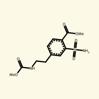 COC(=O)NCCc1ccc(C(=O)OC)c(S(N)(=O)=O)c1